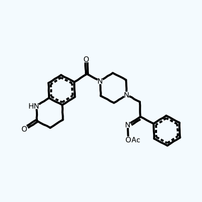 CC(=O)ON=C(CN1CCN(C(=O)c2ccc3c(c2)CCC(=O)N3)CC1)c1ccccc1